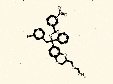 CCOCC1COc2ccc(C(Cc3cccc(F)c3)(OC(=O)c3cccc([N+](=O)[O-])c3)c3ccccc3)cc2O1